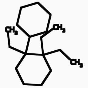 CCC1(CC)CCCCC1(CC)C1CCCCC1